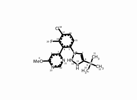 COc1cc(-c2c(N3C=C([Si](C)(C)C)NN3)ccc(Cl)c2F)ncn1